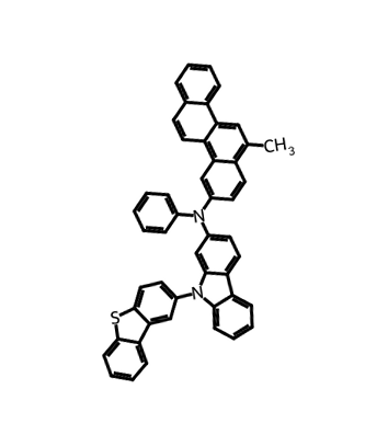 Cc1cc2c3ccccc3ccc2c2cc(N(c3ccccc3)c3ccc4c5ccccc5n(-c5ccc6sc7ccccc7c6c5)c4c3)ccc12